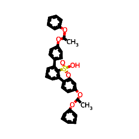 CC(Oc1ccccc1)Oc1ccc(-c2cccc(-c3ccc(OC(C)Oc4ccccc4)cc3)c2S(=O)(=O)O)cc1